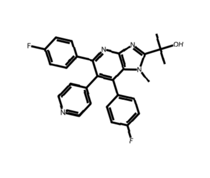 Cn1c(C(C)(C)O)nc2nc(-c3ccc(F)cc3)c(-c3ccncc3)c(-c3ccc(F)cc3)c21